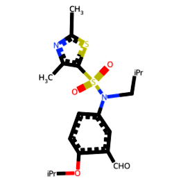 Cc1nc(C)c(S(=O)(=O)N(CC(C)C)c2ccc(OC(C)C)c(C=O)c2)s1